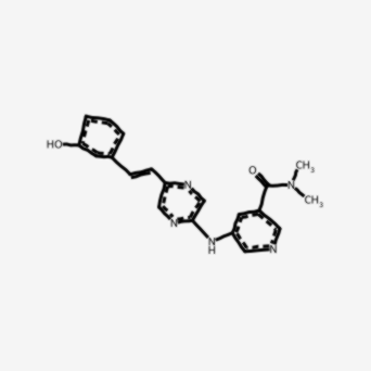 CN(C)C(=O)c1cncc(Nc2cnc(/C=C/c3cccc(O)c3)cn2)c1